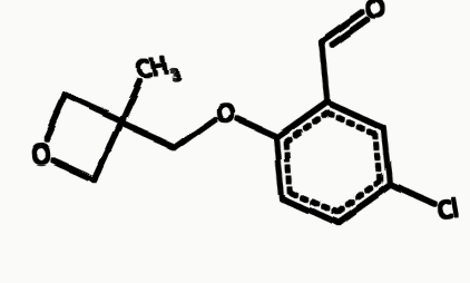 CC1(COc2ccc(Cl)cc2C=O)COC1